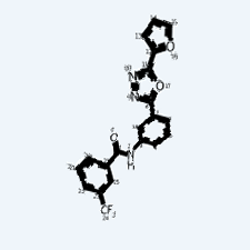 O=C(Nc1cccc(-c2nnc(-c3ccco3)o2)c1)c1cccc(C(F)(F)F)c1